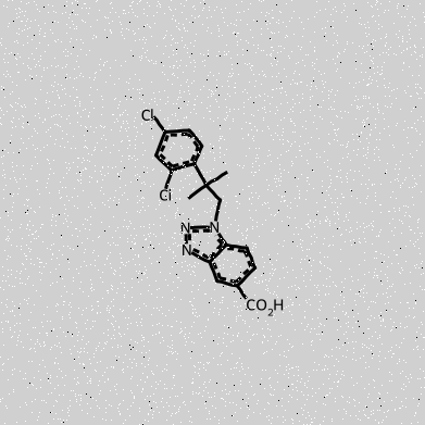 CC(C)(Cn1nnc2cc(C(=O)O)ccc21)c1ccc(Cl)cc1Cl